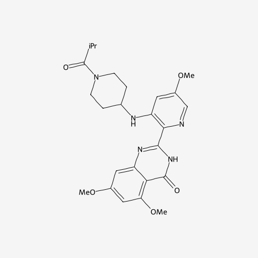 COc1cnc(-c2nc3cc(OC)cc(OC)c3c(=O)[nH]2)c(NC2CCN(C(=O)C(C)C)CC2)c1